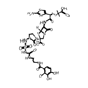 CC(C)(O/N=C(\C(=O)NC1C(=O)N2C[C@@](C(=O)O)(N3CCN(NS(=O)(=O)NC(=O)NCCNC(=O)c4ccc(O)c(O)c4Cl)C3=O)S[C@H]12)c1csc(N)n1)C(=O)O